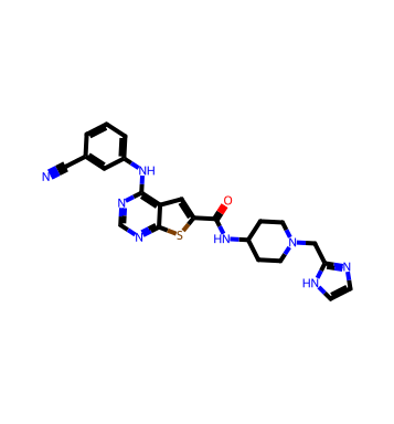 N#Cc1cccc(Nc2ncnc3sc(C(=O)NC4CCN(Cc5ncc[nH]5)CC4)cc23)c1